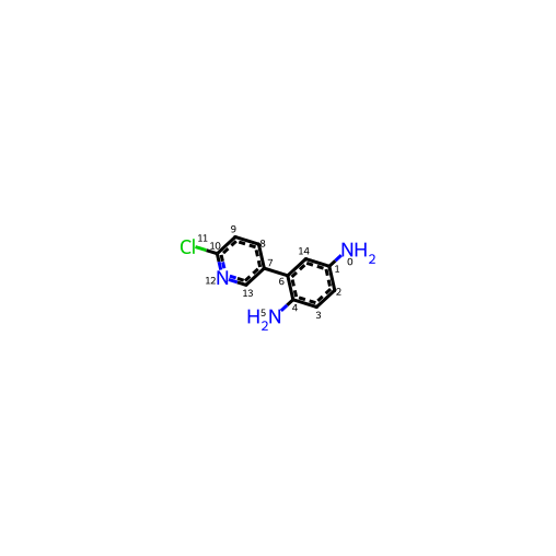 Nc1ccc(N)c(-c2ccc(Cl)nc2)c1